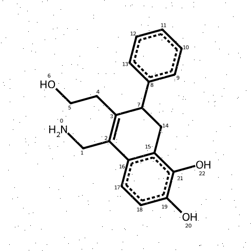 NCC1=C(CCO)C(c2ccccc2)Cc2c1ccc(O)c2O